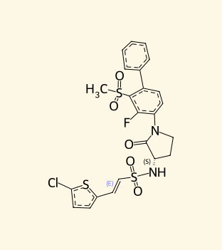 CS(=O)(=O)c1c(-c2ccccc2)ccc(N2CC[C@H](NS(=O)(=O)/C=C/c3ccc(Cl)s3)C2=O)c1F